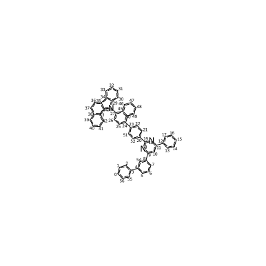 c1ccc(-c2cccc(-c3cc(-c4ccccc4)nc(-c4ccc(-c5ccc(-n6c7ccccc7c7ccc8ccccc8c76)c6ccccc56)cc4)n3)c2)cc1